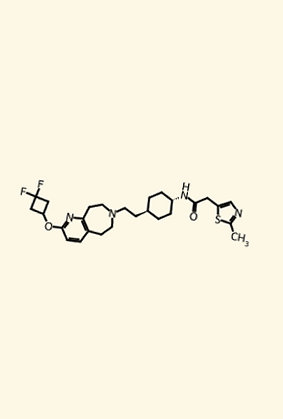 Cc1ncc(CC(=O)N[C@H]2CC[C@H](CCN3CCc4ccc(OC5CC(F)(F)C5)nc4CC3)CC2)s1